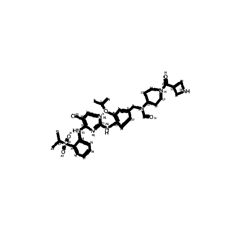 CC(C)Oc1cc(CN(C=O)C2CCN(C(=O)C3CNC3)CC2)ccc1Nc1ncc(Cl)c(Nc2ccccc2S(=O)(=O)C(C)C)n1